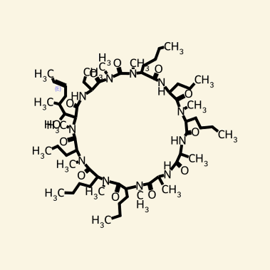 C/C=C/CC(C)C(O)C1C(=O)NC(CC)C(=O)N(C)C(=O)N(C)C(CCCC)C(=O)NC(CCC)C(=O)N(C)C(CCCC)C(=O)NC(C)C(=O)NC(C)C(=O)N(C)C(CCCC)C(=O)N(C)C(CCCC)C(=O)N(C)C(CCC)C(=O)N1C